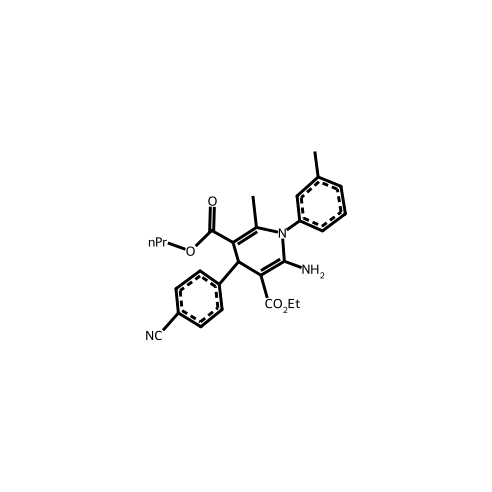 CCCOC(=O)C1=C(C)N(c2cccc(C)c2)C(N)=C(C(=O)OCC)C1c1ccc(C#N)cc1